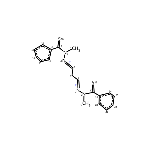 CN(/N=C/C/C=N/N(C)C(=S)c1ccccc1)C(=S)c1ccccc1